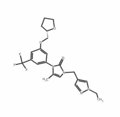 CCn1cc(Cn2cc(C)n(-c3cc(OC[C@@H]4CCCO4)cc(C(F)(F)F)c3)c2=O)cn1